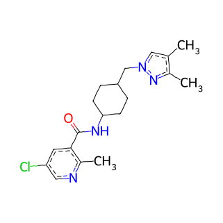 Cc1cn(CC2CCC(NC(=O)c3cc(Cl)cnc3C)CC2)nc1C